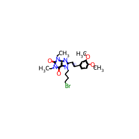 CCn1c(=O)c2c(nc(/C=C/c3ccc(OC)c(OC)c3)n2CCCCBr)n(CC)c1=O